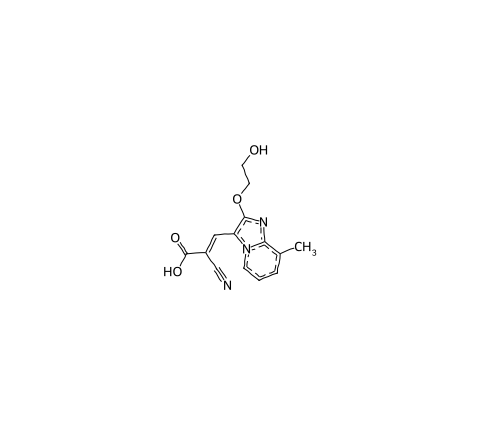 Cc1cccn2c(C=C(C#N)C(=O)O)c(OCCO)nc12